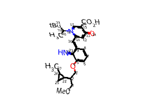 COCC(COC1=CC=C/C(=C\c2cc(=O)c(C(=O)O)cn2C(C)C(C)(C)C)C1=N)C1CC1C